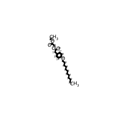 CCCCCCCCCCCCOc1ccc(CC(=O)OCC(=O)OCC)cc1